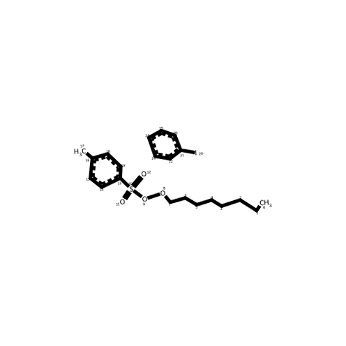 CCCCCCCCOOS(=O)(=O)c1ccc(C)cc1.Ic1ccccc1